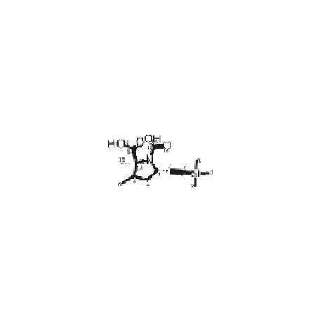 CC1C[C@@H](C#C[Si](C)(C)C)N(C(=O)O)[C@]1(C)C(=O)O